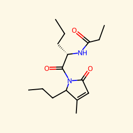 CCCC1C(C)=CC(=O)N1C(=O)[C@H](CCC)NC(=O)CC